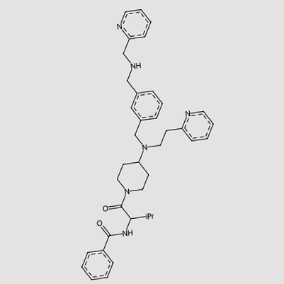 CC(C)C(NC(=O)c1ccccc1)C(=O)N1CCC(N(CCc2ccccn2)Cc2cccc(CNCc3ccccn3)c2)CC1